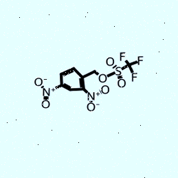 O=[N+]([O-])c1ccc(COS(=O)(=O)C(F)(F)F)c([N+](=O)[O-])c1